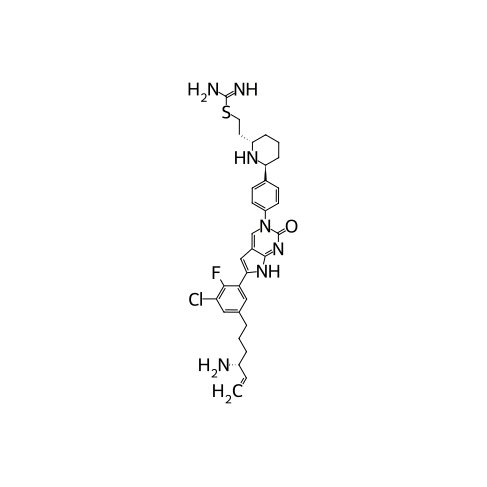 C=C[C@H](N)CCCc1cc(Cl)c(F)c(-c2cc3cn(-c4ccc([C@@H]5CCC[C@@H](CCSC(=N)N)N5)cc4)c(=O)nc3[nH]2)c1